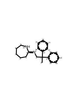 CC(CN=C1CCCCCN1)(c1ccccc1)c1ccccc1